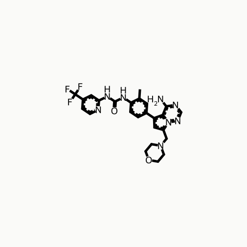 Cc1cc(-c2cc(CN3CCOCC3)n3ncnc(N)c23)ccc1NC(=O)Nc1cc(C(F)(F)F)ccn1